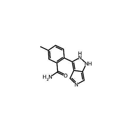 Cc1ccc(-c2[nH][nH]c3cncc2-3)c(C(N)=O)c1